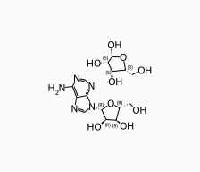 Nc1ncnc2c1ncn2[C@@H]1O[C@H](CO)[C@@H](O)[C@H]1O.OC[C@H]1OC(O)[C@@H](O)[C@@H]1O